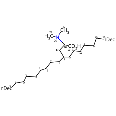 CCCCCCCCCCCCCCCCCCC(CCCCCCCCCCCCCCCC)CC(C(=O)O)N(C)C